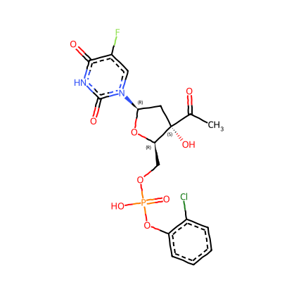 CC(=O)[C@]1(O)C[C@H](n2cc(F)c(=O)[nH]c2=O)O[C@@H]1COP(=O)(O)Oc1ccccc1Cl